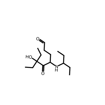 CCC(CC)NC(CCC=O)C(=O)C(O)(CC)CC